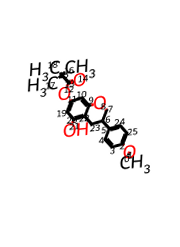 COc1ccc(C2COc3cc(OC(=O)C(C)(C)C)cc(O)c3C2)cc1